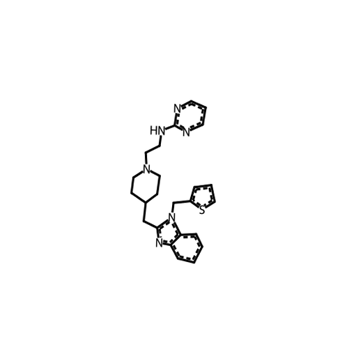 c1cnc(NCCN2CCC(Cc3nc4ccccc4n3Cc3cccs3)CC2)nc1